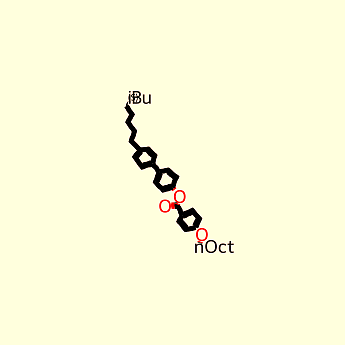 CCCCCCCCOc1ccc(C(=O)Oc2ccc(-c3ccc(CCCCC[C@@H](C)CC)cc3)cc2)cc1